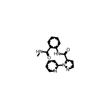 CNC(=O)c1ccccc1NC(=O)c1ccnn1-c1ccccn1